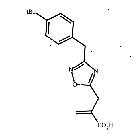 C=C(Cc1nc(Cc2ccc(C(C)(C)C)cc2)no1)C(=O)O